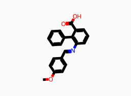 COc1ccc(C=Nc2cccc(C(=O)O)c2-c2ccccc2)cc1